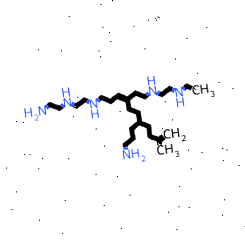 C=C(C)CCC(CCCN)CC/C(=C\CCNCCNCCN)CCNCCNCC